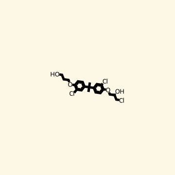 CC(C)(c1ccc(OCCCO)c(Cl)c1)c1ccc(OC[C@H](O)CCl)c(Cl)c1